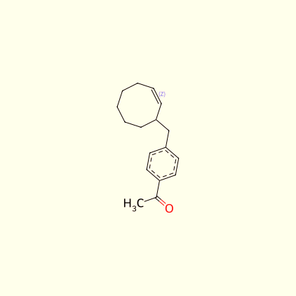 CC(=O)c1ccc(CC2/C=C\CCCCC2)cc1